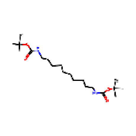 CCC(C)(C)OC(=O)NCCCCCCCCCCNC(=O)OC(C)(C)CC